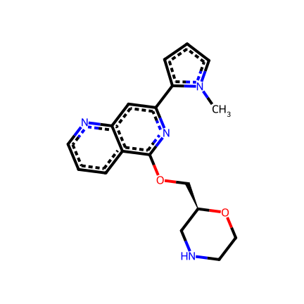 Cn1cccc1-c1cc2ncccc2c(OC[C@@H]2CNCCO2)n1